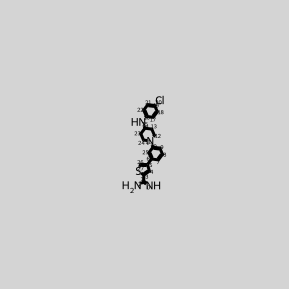 N=C(N)c1cc(-c2cccc(N3CCC(Nc4ccc(Cl)cc4)CC3)c2)cs1